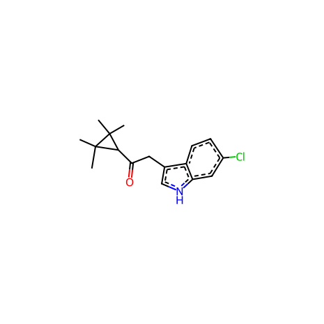 CC1(C)C(C(=O)Cc2c[nH]c3cc(Cl)ccc23)C1(C)C